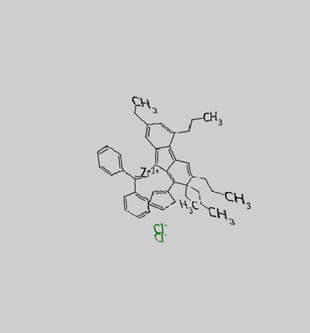 CCCC1=CC2=c3c(CCC)cc(CC)cc3=[C]([Zr+2]=[C](c3ccccc3)c3ccccc3)C2=C(C2=CC=CC2)C1(CC)CCC.[Cl-].[Cl-]